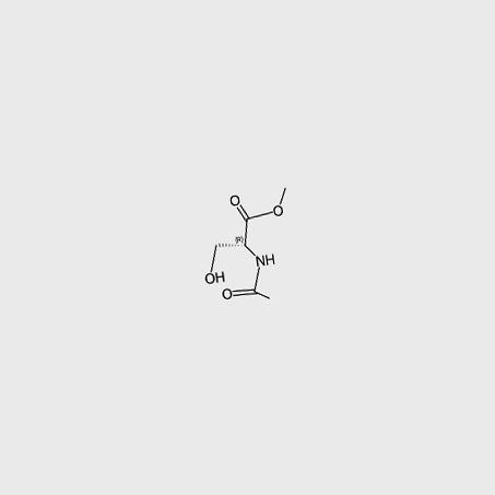 COC(=O)[C@@H](CO)NC(C)=O